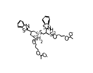 COC(C)OCCCO[SiH2]CC(CSSCC(C[SiH2]OCCCOC(C)OC)c1nc2ccccc2s1)c1nc2ccccc2s1